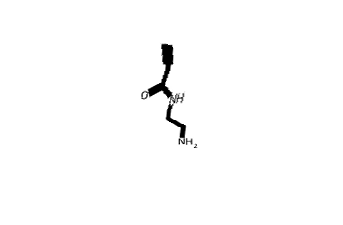 C#CC(=O)NCCN